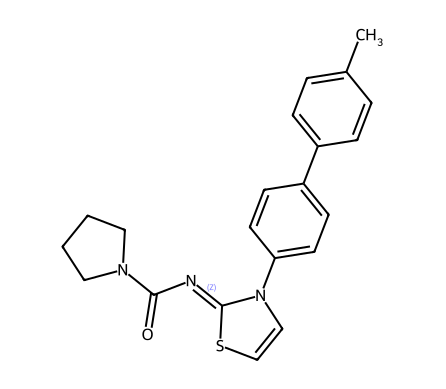 Cc1ccc(-c2ccc(-n3ccs/c3=N\C(=O)N3CCCC3)cc2)cc1